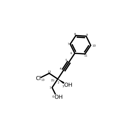 OC[C@@](O)(C#Cc1ccccc1)CCl